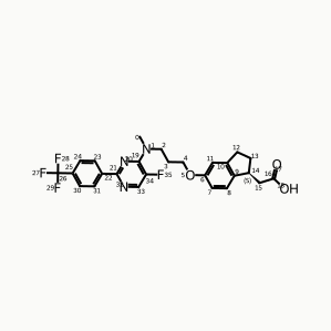 CN(CCCOc1ccc2c(c1)CC[C@H]2CC(=O)O)c1nc(-c2ccc(C(F)(F)F)cc2)ncc1F